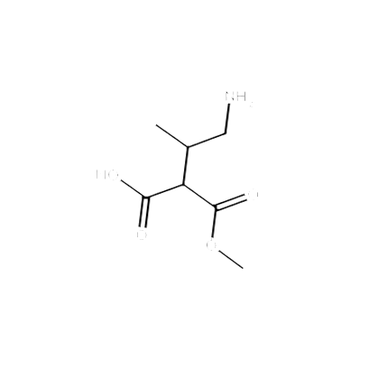 COC(=O)C(C(=O)O)C(C)CN